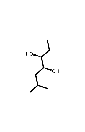 CC[C@H](O)[C@@H](O)CC(C)C